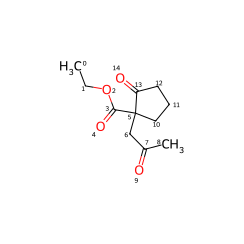 CCOC(=O)C1(CC(C)=O)CCCC1=O